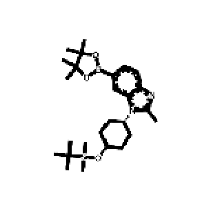 Cc1nc2ccc(B3OC(C)(C)C(C)(C)O3)cc2n1[C@H]1CC[C@H](O[Si](C)(C)C(C)(C)C)CC1